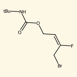 CC(C)(C)NC(=O)OC/C=C(/F)CBr